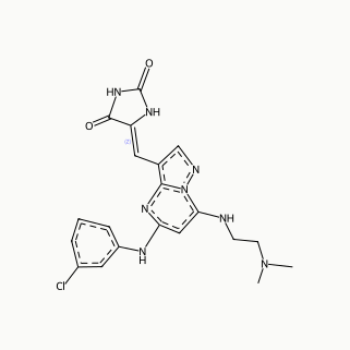 CN(C)CCNc1cc(Nc2cccc(Cl)c2)nc2c(/C=C3\NC(=O)NC3=O)cnn12